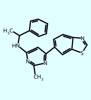 Cc1nc(NC(C)c2ccccc2)cc(-c2ccc3ncsc3c2)n1